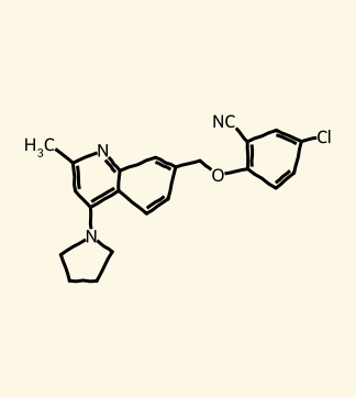 Cc1cc(N2CCCC2)c2ccc(COc3ccc(Cl)cc3C#N)cc2n1